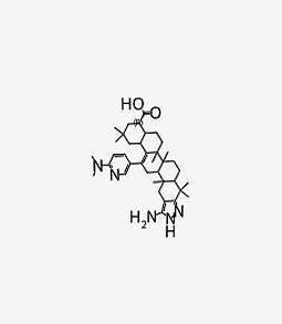 CN(C)c1ccc(C2=C3C4CC(C)(C)C[C@@H](C(=O)O)C4CCC3(C)C3(C)CCC4C(C)(C)c5n[nH]c(N)c5CC4(C)C3C2)cn1